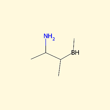 CBC(C)C(C)N